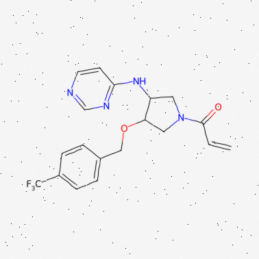 C=CC(=O)N1CC(Nc2ccncn2)C(OCc2ccc(C(F)(F)F)cc2)C1